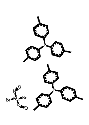 Cc1ccc(P(c2ccc(C)cc2)c2ccc(C)cc2)cc1.Cc1ccc(P(c2ccc(C)cc2)c2ccc(C)cc2)cc1.O=[N][Mo]([Br])([Br])[N]=O